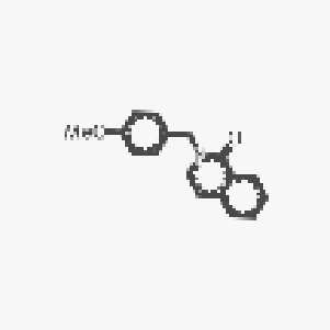 COc1ccc(Cn2ccc3ccccc3c2=O)cc1